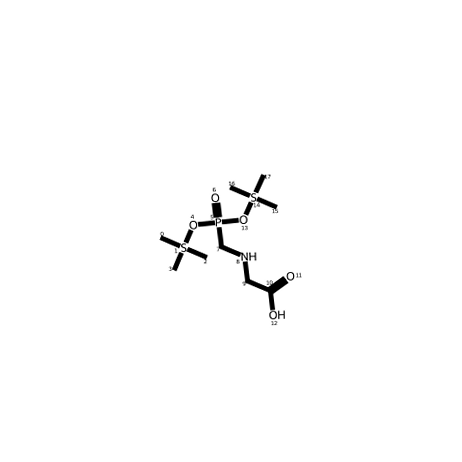 CS(C)(C)OP(=O)(CNCC(=O)O)OS(C)(C)C